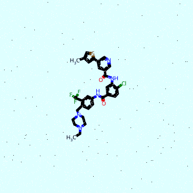 CCN1CCN(Cc2ccc(NC(=O)c3ccc(Cl)c(NC(=O)c4cncc(-c5cc(C)cs5)c4)c3)cc2C(F)(F)F)CC1